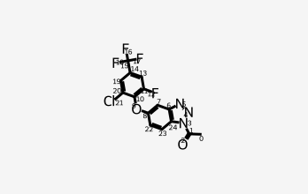 CC(=O)n1nnc2cc(Oc3c(F)cc(C(F)(F)F)cc3Cl)ccc21